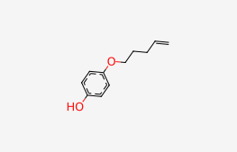 C=CCCCOc1ccc(O)cc1